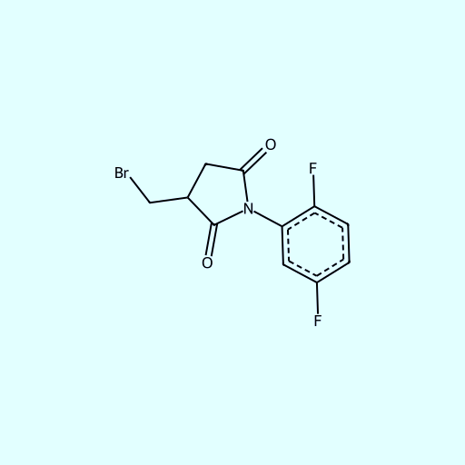 O=C1CC(CBr)C(=O)N1c1cc(F)ccc1F